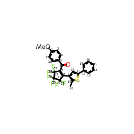 COc1ccc(C(=O)C2=C(c3cc(-c4ccccc4)sc3C)C(F)(F)C(F)(F)C2(F)F)cc1